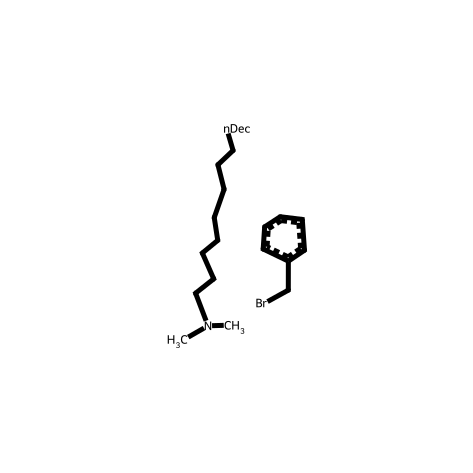 BrCc1ccccc1.CCCCCCCCCCCCCCCCCCN(C)C